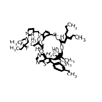 CCCCC(CCC)C[C@@H]1COc2ccc(OCc3ccnc(N(CC)CC(F)(F)CC)n3)c(c2)C[C@H](C(=O)CC)Oc2ncnc3sc(-c4ccc(CC)cc4)c(c23)-c2c(C)c(C)c(c(O)c2C)O1